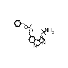 CC(OCc1ccccc1)OCc1ccc2ncc3ncn(CC(C)(C)N)c3c2c1